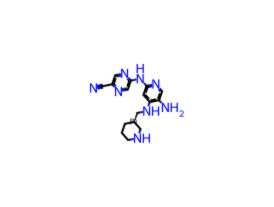 N#Cc1cnc(Nc2cc(NC[C@@H]3CCCNC3)c(N)cn2)cn1